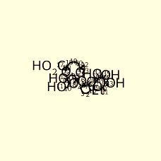 CCC1CCC[C@@H](O[C@@H]2OC(CO)[C@H](O)C3O[C@@H](C(=O)O)CCCC4(CC4)OC32)C1O[C@@H]1OC(C)[C@@H](O)C(O)[C@@H]1O